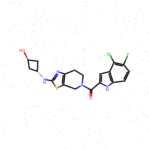 O=C(c1cc2c(Cl)c(F)ccc2[nH]1)N1CCc2nc(N[C@H]3C[C@H](O)C3)sc2C1